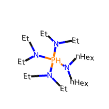 CCCCCCN(CCCCCC)[PH](N(CC)CC)(N(CC)CC)N(CC)CC